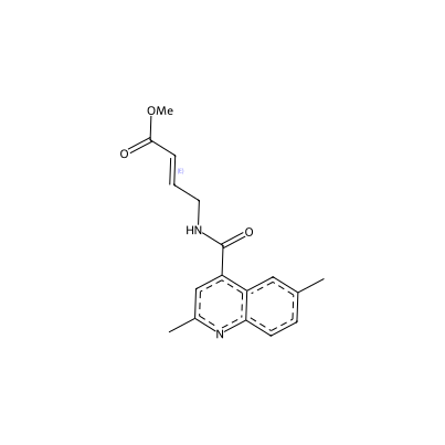 COC(=O)/C=C/CNC(=O)c1cc(C)nc2ccc(C)cc12